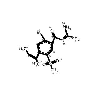 C/C=C(/C)c1cc(CC)c(C(=O)N=C(N)N)cc1S(C)(=O)=O